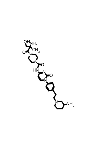 CC(N)(CO)C(=O)N1CCN(C(=O)Nc2ccn(-c3ccc(CCN4CCCC(N)C4)cc3)c(=O)n2)CC1